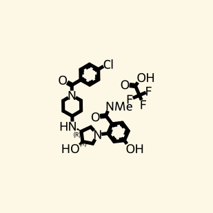 CNC(=O)c1ccc(O)cc1N1C[C@@H](O)[C@H](NC2CCN(C(=O)c3ccc(Cl)cc3)CC2)C1.O=C(O)C(F)(F)F